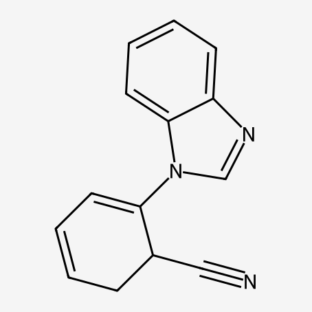 N#CC1CC=CC=C1n1cnc2ccccc21